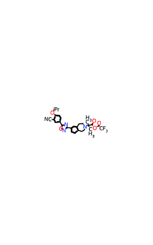 CC(C)Oc1ccc(-c2nc(-c3ccc4c(c3)CCN(C(C)(C)C(=O)OC(=O)C(F)(F)F)CC4)no2)cc1C#N